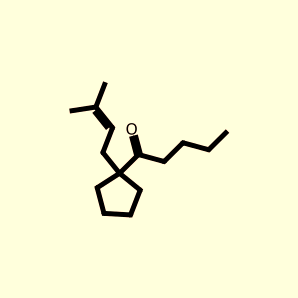 CCCCC(=O)C1(CC=C(C)C)CCCC1